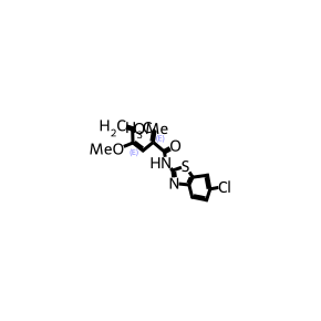 C=C(OC)/C(=C\C(=C/C)C(=O)Nc1nc2ccc(Cl)cc2s1)OC